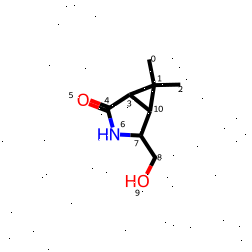 CC1(C)C2C(=O)NC(CO)C21